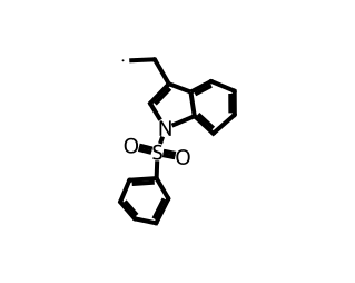 [CH2]Cc1cn(S(=O)(=O)c2ccccc2)c2ccccc12